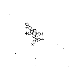 Cc1cc2c3c(c1)N(c1ccc4c(c1)C(C)(C)c1ccccc1-4)c1cc(C(C)(C)C)ccc1B3c1ccc(N(c3ccc(C(C)(C)C)cc3)c3c(C)cc(C(C)(C)C)cc3C)cc1N2c1ccc(C(C)(C)C)cc1